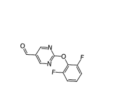 O=Cc1cnc(Oc2c(F)cccc2F)nc1